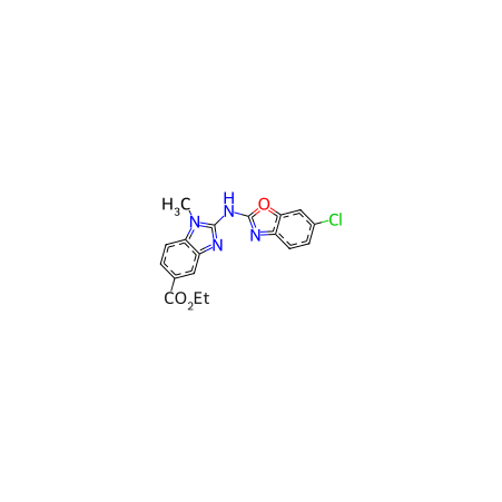 CCOC(=O)c1ccc2c(c1)nc(Nc1nc3ccc(Cl)cc3o1)n2C